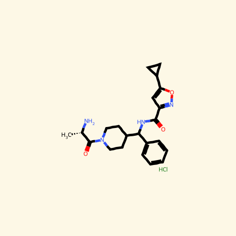 C[C@H](N)C(=O)N1CCC(C(NC(=O)c2cc(C3CC3)on2)c2ccccc2)CC1.Cl